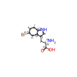 N[C@@H](Cc1c[nH]c2ccc(Br)cc12)C(=O)O